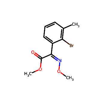 CON=C(C(=O)OC)c1cccc(C)c1Br